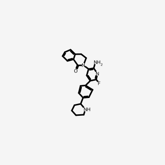 Nc1nc(F)c(-c2ccc(C3CCCCN3)cc2)cc1N1CCc2ccccc2C1=O